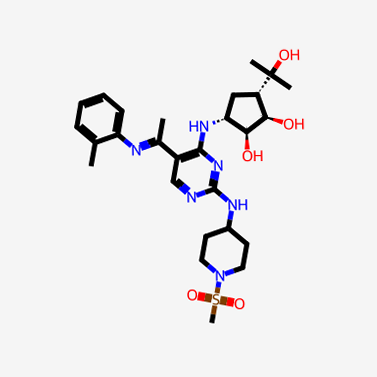 C/C(=N\c1ccccc1C)c1cnc(NC2CCN(S(C)(=O)=O)CC2)nc1N[C@@H]1C[C@H](C(C)(C)O)[C@@H](O)[C@H]1O